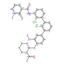 COc1nc(-c2cccc(-c3cccc(NC(=O)c4ccnn(C)c4=O)c3Cl)c2Cl)ccc1CN1CCCCC1C(C)=O